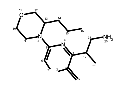 C=C(C)/C(=N\C(=C/C)N1CCOCC1CCC)C(C)CN